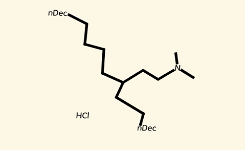 CCCCCCCCCCCCCCC(CCCCCCCCCCCC)CCN(C)C.Cl